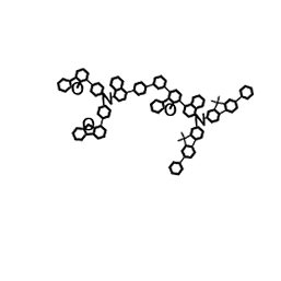 CC1(C)c2cc(-c3ccccc3)ccc2-c2ccc(N(c3ccc4c(c3)C(C)(C)c3cc(-c5ccccc5)ccc3-4)c3ccc(-c4ccc(-c5cccc(-c6ccc(-c7ccc(N(c8ccc(-c9cccc%10c9oc9ccccc9%10)cc8)c8ccc(-c9cccc%10c9oc9ccccc9%10)cc8)c8ccccc78)cc6)c5)c5c4oc4ccccc45)c4ccccc34)cc21